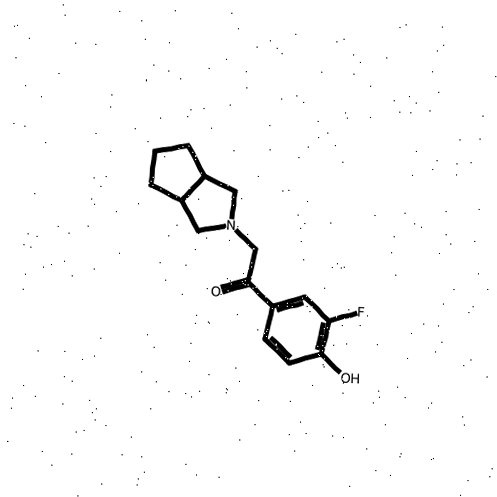 O=C(CN1CC2CCCC2C1)c1ccc(O)c(F)c1